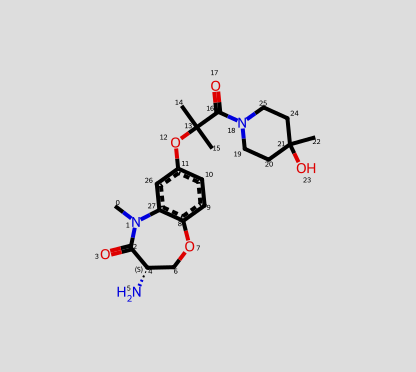 CN1C(=O)[C@@H](N)COc2ccc(OC(C)(C)C(=O)N3CCC(C)(O)CC3)cc21